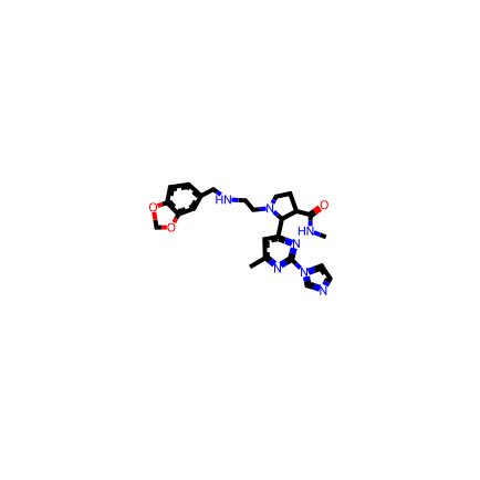 CNC(=O)C1CCN(CCNCc2ccc3c(c2)OCO3)C1c1cc(C)nc(-n2ccnc2)n1